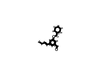 O=Cc1cc(/C=C/CI)cc(OCC2CCCCC2)c1